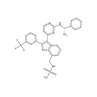 C[C@H](Nc1nccc(-c2c(-c3cccc(C(F)(F)F)c3)nc3c(CNS(C)(=O)=O)cccn23)n1)c1ccccc1